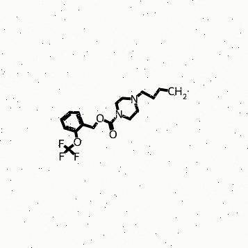 [CH2]CCCN1CCN(C(=O)OCc2ccccc2OC(F)(F)F)CC1